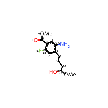 COC(=O)c1cc(N)c(CCCC(O)OC)cc1F